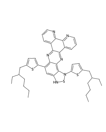 CCCCC(CC)Cc1ccc(-c2cc3c(c4nc5c6cccnc6c6ncccc6c5nc24)N(c2ccc(CC(CC)CCCC)s2)SN3)s1